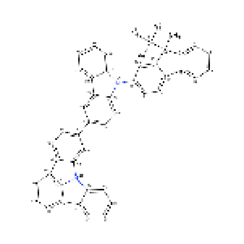 [2H]C([2H])([2H])C1(C)c2ccccc2-c2ccc(-n3c4ccccc4c4cc(-c5ccc6c7cccc8c9ccccc9n(c6c5)c87)ccc43)cc21